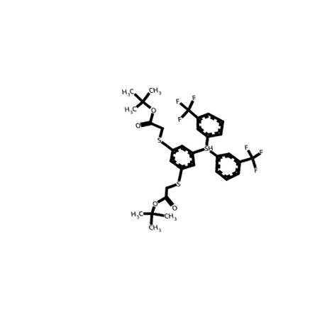 CC(C)(C)OC(=O)CSc1cc(SCC(=O)OC(C)(C)C)cc([SH](c2cccc(C(F)(F)F)c2)c2cccc(C(F)(F)F)c2)c1